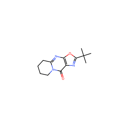 CC(C)(C)c1nc2c(=O)n3c(nc2o1)CCCC3